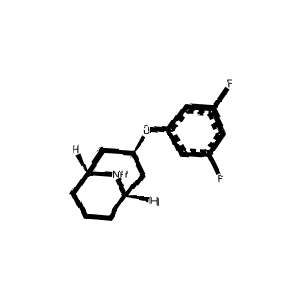 Fc1cc(F)cc(O[C@@H]2C[C@H]3CCC[C@@H](C2)N3)c1